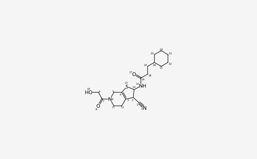 N#CC1C2=C(CN(C(=O)CO)CC2)SC1NC(=O)CCC1CCCCC1